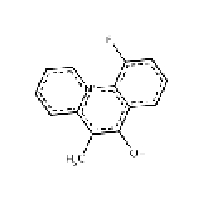 Cc1c(O)c2cccc(F)c2[n+]2ccccc12